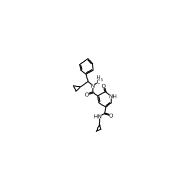 CN(C(=O)c1cc(C(=O)NC2CC2)c[nH]c1=O)C(c1ccccc1)C1CC1